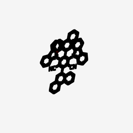 N#Cc1c(-c2cc3ccccc3c3ccccc23)c(C#N)c(-n2c3ccccc3c3ccccc32)c(-c2cc3ccccc3c3ccccc23)c1-n1c2ccccc2c2ccccc21